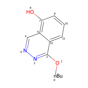 CCCCOc1nncc2c(O)cccc12